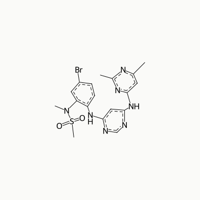 Cc1cc(Nc2cc(Nc3ccc(Br)cc3N(C)S(C)(=O)=O)ncn2)nc(C)n1